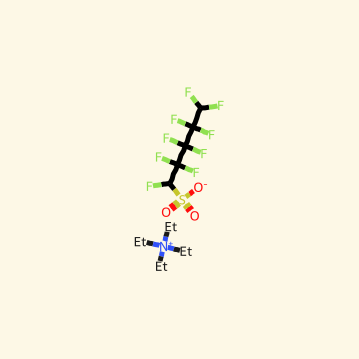 CC[N+](CC)(CC)CC.O=S(=O)([O-])C(F)C(F)(F)C(F)(F)C(F)(F)C(F)F